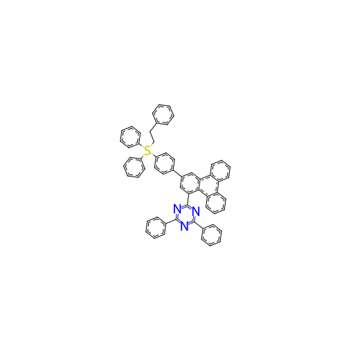 c1ccc(CCS(c2ccccc2)(c2ccccc2)c2ccc(-c3cc(-c4nc(-c5ccccc5)nc(-c5ccccc5)n4)c4c5ccccc5c5ccccc5c4c3)cc2)cc1